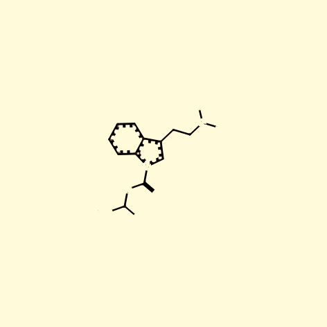 CC(=O)OC(C)OC(=O)n1cc(CCN(C)C)c2ccccc21